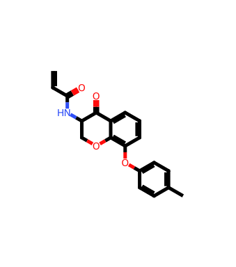 C=CC(=O)NC1COc2c(Oc3ccc(C)cc3)cccc2C1=O